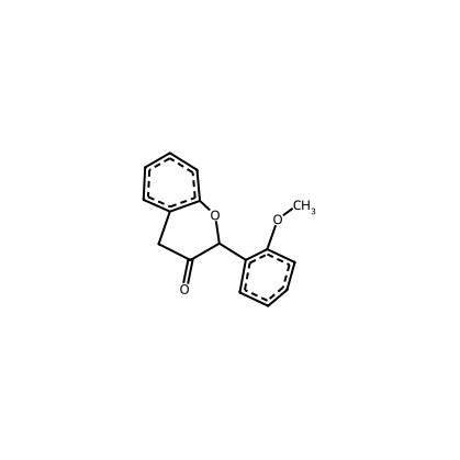 COc1ccccc1C1Oc2ccccc2CC1=O